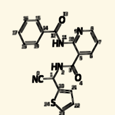 N#CC(NC(=O)c1cccnc1NC(=O)c1ccccc1)c1cccs1